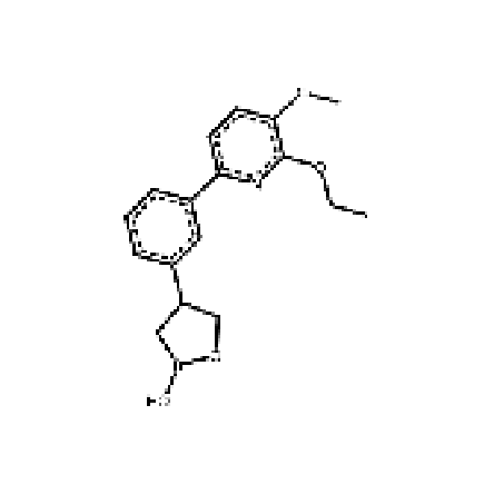 CCOc1nc(-c2cccc(C3COB(O)C3)c2)ccc1OC